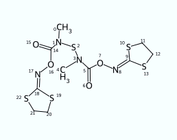 CN(SN(C)C(=O)ON=C1SCCS1)C(=O)ON=C1SCCS1